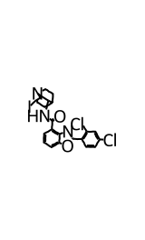 O=C(NC1C2CCN(CC2)C1I)c1cccc2oc(-c3ccc(Cl)cc3Cl)nc12